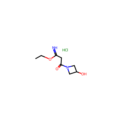 CCOC(=N)CC(=O)N1CC(O)C1.Cl